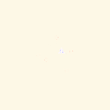 CC(C(=O)c1ccc2c(c1)OCO2)N(C)C(=O)C1CCOCC1